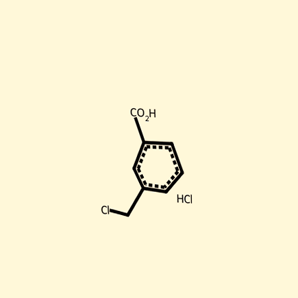 Cl.O=C(O)c1cccc(CCl)c1